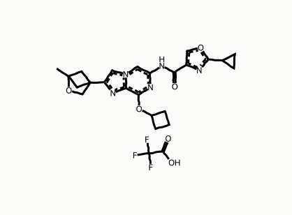 CC12CC(c3cn4cc(NC(=O)c5coc(C6CC6)n5)nc(OC5CCC5)c4n3)(CO1)C2.O=C(O)C(F)(F)F